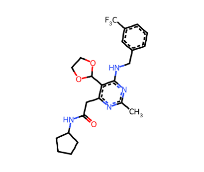 Cc1nc(CC(=O)NC2CCCC2)c(C2OCCO2)c(NCc2cccc(C(F)(F)F)c2)n1